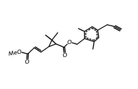 C#CCc1cc(C)c(COC(=O)C2C(C=CC(=O)OC)C2(C)C)c(C)c1